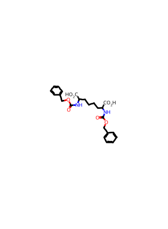 O=C(NC(CCCCC(NC(=O)OCc1ccccc1)C(=O)O)C(=O)O)OCc1ccccc1